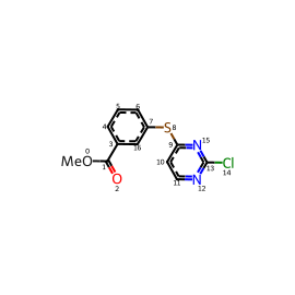 COC(=O)c1cccc(Sc2ccnc(Cl)n2)c1